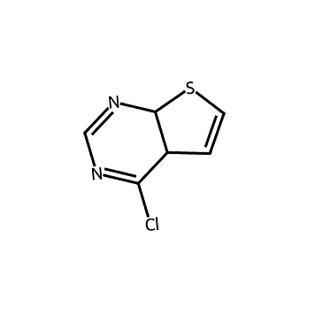 ClC1=NC=NC2SC=CC12